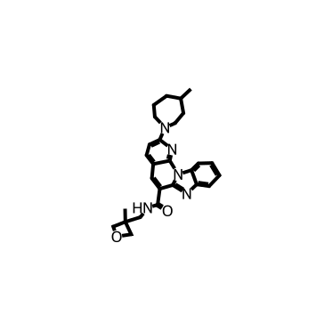 CC1CCCN(c2ccc3cc(C(=O)NCC4(C)COC4)c4nc5ccccc5n4c3n2)CC1